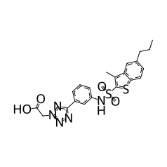 CCCc1ccc2sc(S(=O)(=O)Nc3cccc(-c4nnn(CC(=O)O)n4)c3)c(C)c2c1